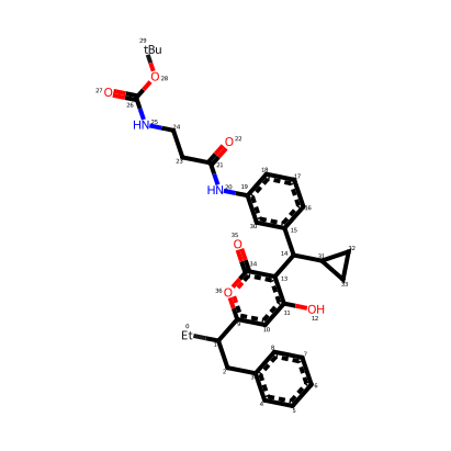 CCC(Cc1ccccc1)c1cc(O)c(C(c2cccc(NC(=O)CCNC(=O)OC(C)(C)C)c2)C2CC2)c(=O)o1